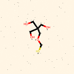 OCC(CO)(CO)COCS